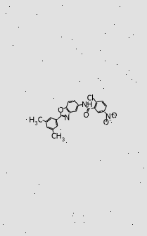 Cc1cc(C)cc(-c2nc3cc(NC(=O)c4cc([N+](=O)[O-])ccc4Cl)ccc3o2)c1